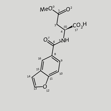 COC(=O)C[C@H](NC(=O)c1ccc2occc2c1)C(=O)O